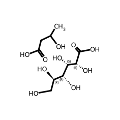 CC(O)CC(=O)O.O=C(O)[C@H](O)[C@@H](O)[C@H](O)[C@H](O)CO